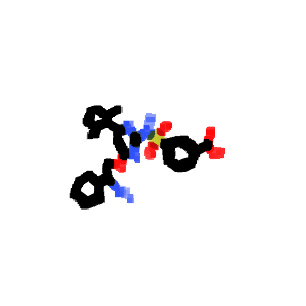 Cc1cccc(C)c1-c1cc(OCC(N)C2CCCCC2)nc(NS(=O)(=O)c2cccc(C(=O)O)c2)n1